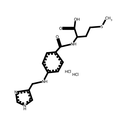 CSCCC(NC(=O)c1ccc(NCc2c[nH]cn2)cc1)C(=O)O.Cl.Cl